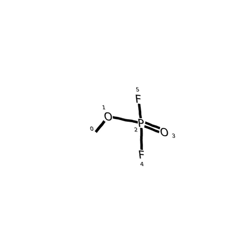 COP(=O)(F)F